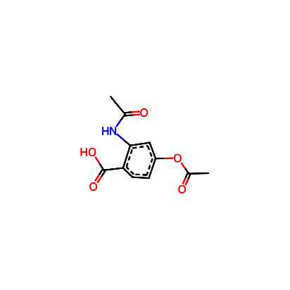 CC(=O)Nc1cc(OC(C)=O)ccc1C(=O)O